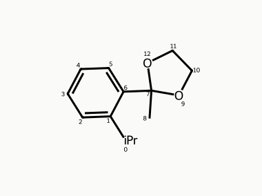 CC(C)c1ccccc1C1(C)OCCO1